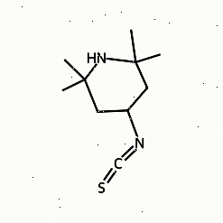 CC1(C)CC(N=C=S)CC(C)(C)N1